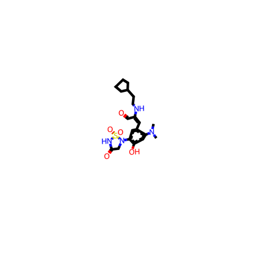 CN(C)c1cc(O)c(N2CC(=O)NS2(=O)=O)cc1/C=C(\C=O)NCCC1CCCC1